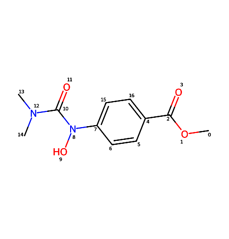 COC(=O)c1ccc(N(O)C(=O)N(C)C)cc1